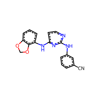 N#Cc1cccc(Nc2nccc(Nc3cccc4c3OCO4)n2)c1